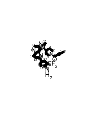 CC#CC(=O)N1CCC(n2c(C)nc3cnc4ccc(-c5cnc(N)c(C(F)(F)F)c5)nc4c32)CC1